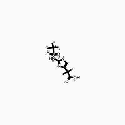 CC(C)(C(=O)O)c1csc(NS(=O)(=O)C(C)(C)C)n1